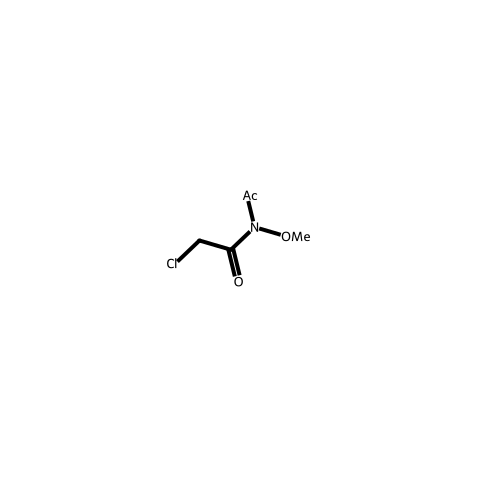 CON(C(C)=O)C(=O)CCl